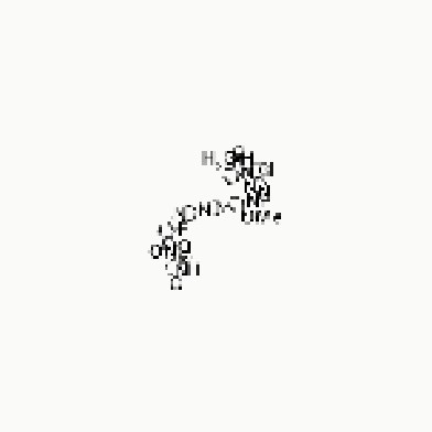 COc1cc(N2CCN(C3CCN(Cc4ccc5c(c4F)C(=O)N(C4CCC(=O)NC4=O)C5=O)CC3)CC2)ccc1Nc1ncc(Cl)c(Nc2ccccc2P(C)(C)=O)n1